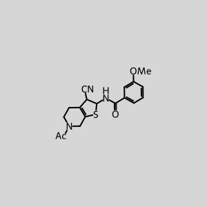 COc1cccc(C(=O)NC2SC3=C(CCN(C(C)=O)C3)C2C#N)c1